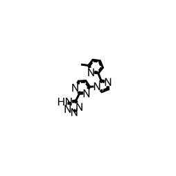 Cc1cccc(-c2nccn2-c2ccnc(-c3nnn[nH]3)n2)n1